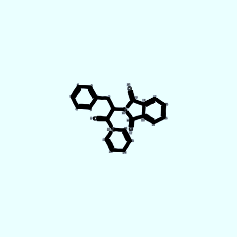 O=C(C(Cc1ccccc1)N1C(=O)c2ccccc2C1=O)N1C=CCC=C1